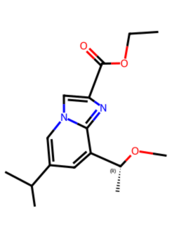 CCOC(=O)c1cn2cc(C(C)C)cc([C@@H](C)OC)c2n1